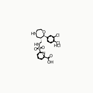 Cl.O=C(O)c1cccc(S(=O)(=O)NC[C@@H]2CNCCO[C@H]2c2ccc(Cl)c(Cl)c2)n1